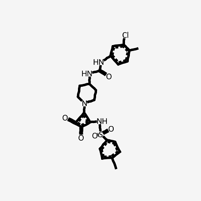 Cc1ccc(S(=O)(=O)Nc2c(N3CCC(NC(=O)Nc4ccc(C)c(Cl)c4)CC3)c(=O)c2=O)cc1